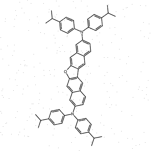 CC(C)c1ccc(N(c2ccc(C(C)C)cc2)c2ccc3cc4c(cc3c2)oc2cc3cc(N(c5ccc(C(C)C)cc5)c5ccc(C(C)C)cc5)ccc3cc24)cc1